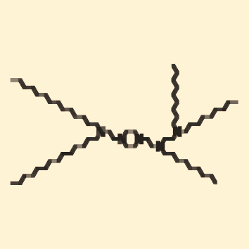 CCCCCCCCCCCCCCN(CCCCCCCCCCCCCC)CCN1CCN(CCN(CCCCCCCCC)CCN(CCCCCCCCC)CCCCCCCCC)CC1